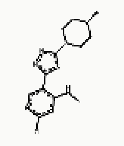 CNc1cc(Cl)ncc1-c1nnc([C@H]2CC[C@H](C)CC2)s1